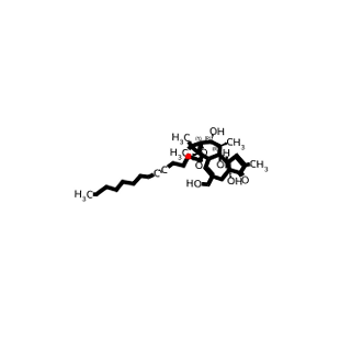 CCCCCCCCCCCCCC(=O)O[C@@]12[C@H](O)[C@@H](C)[C@@]3(O)C(C=C(CO)C[C@]4(O)C(=O)C(C)=C[C@@H]34)[C@@H]1C2(C)C